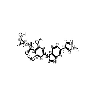 COc1cc(-n2cnc3cc(-c4cnn(C)c4)ccc32)cc(OC)c1C(=O)N[C@@H]1C[C@H]1O